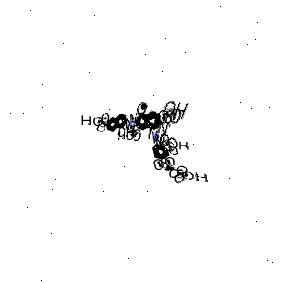 COc1c(/N=N/c2ccc3cc(S(=O)(=O)O)ccc3c2O)c(S(=O)(=O)O)cc2c(/N=N/c3ccc(S(=O)(=O)CCOS(=O)(=O)O)cc3S(=O)(=O)O)c(NCS(=O)(=O)O)ccc12